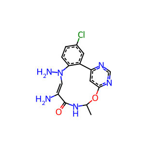 CC1NC(=O)/C(N)=C/N(N)c2ccc(Cl)cc2-c2cc(ncn2)O1